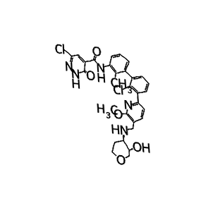 COc1nc(-c2cccc(-c3cccc(NC(=O)c4cc(Cl)n[nH]c4=O)c3C)c2Cl)ccc1CN[C@@H]1CCOC[C@@H]1O